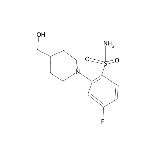 NS(=O)(=O)c1ccc(F)cc1N1CCC(CO)CC1